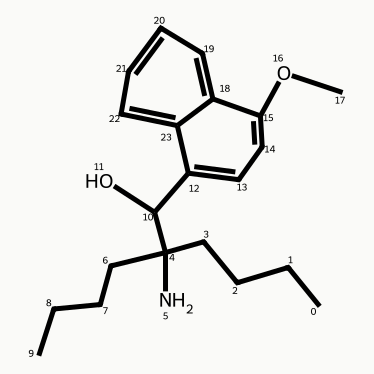 CCCCC(N)(CCCC)C(O)c1ccc(OC)c2ccccc12